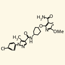 COc1nc(O[C@H]2CC[C@H](NC(=O)c3cnn(-c4ccc(Cl)cc4)c3C)CC2)c(C(N)=O)s1